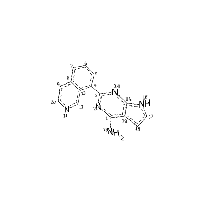 Nc1nc(-c2cccc3ccncc23)nc2[nH]ccc12